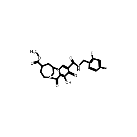 COC(=O)C1CCN2CC(C1)n1cc(C(=O)NCc3ccc(F)cc3F)c(=O)c(O)c1C2=O